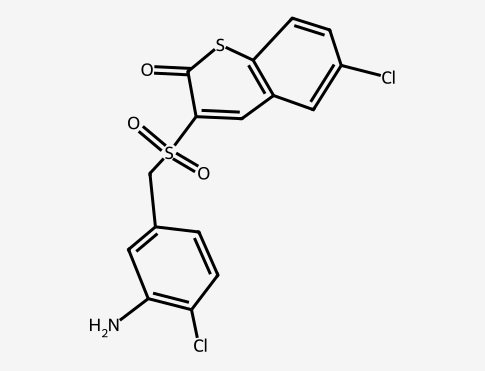 Nc1cc(CS(=O)(=O)c2cc3cc(Cl)ccc3sc2=O)ccc1Cl